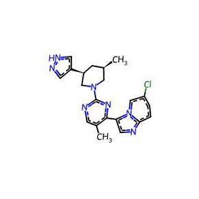 Cc1cnc(N2C[C@H](C)C[C@H](c3cn[nH]c3)C2)nc1-c1cnc2ccc(Cl)cn12